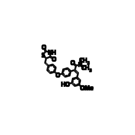 COc1cc(O)cc(/C=C(/C(=O)N(C)C)c2ccc(Oc3ccc(CC4SC(=O)NC4=O)cc3)cc2)c1